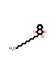 CCCCCCCCCCCCC1=C(Br)C(=O)c2ccccc2C1=O